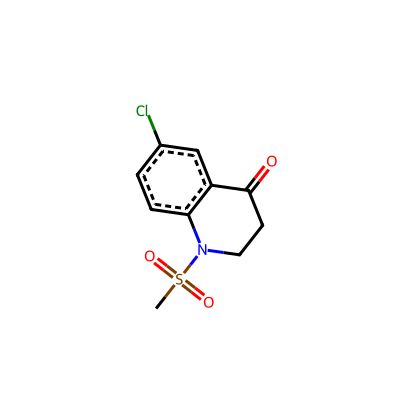 CS(=O)(=O)N1CCC(=O)c2cc(Cl)ccc21